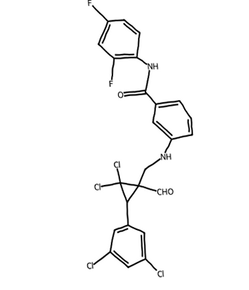 O=CC1(CNc2cccc(C(=O)Nc3ccc(F)cc3F)c2)C(c2cc(Cl)cc(Cl)c2)C1(Cl)Cl